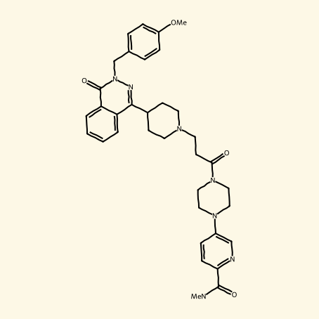 CNC(=O)c1ccc(N2CCN(C(=O)CCN3CCC(c4nn(Cc5ccc(OC)cc5)c(=O)c5ccccc45)CC3)CC2)cn1